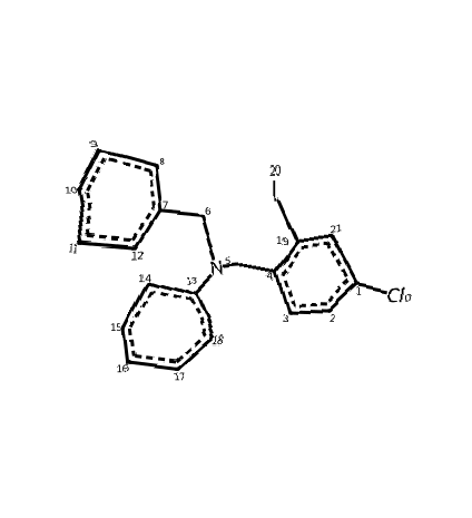 Clc1ccc(N(Cc2ccccc2)c2ccccc2)c(I)c1